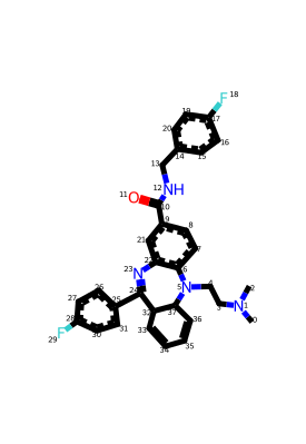 CN(C)CCN1c2ccc(C(=O)NCc3ccc(F)cc3)cc2N=C(c2ccc(F)cc2)C2C=CC=CC21